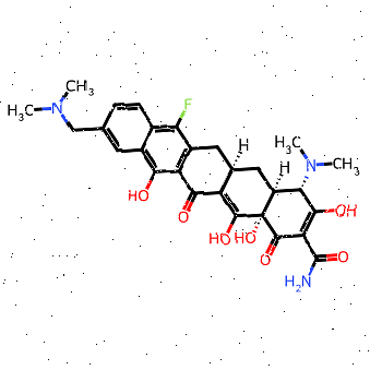 CN(C)Cc1ccc2c(F)c3c(c(O)c2c1)C(=O)C1=C(O)[C@]2(O)C(=O)C(C(N)=O)=C(O)[C@@H](N(C)C)[C@@H]2C[C@@H]1C3